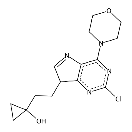 OC1(CCC2C=Nc3c2nc(Cl)nc3N2CCOCC2)CC1